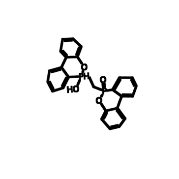 O=P1(CC[PH]2(O)Oc3ccccc3-c3ccccc32)Oc2ccccc2-c2ccccc21